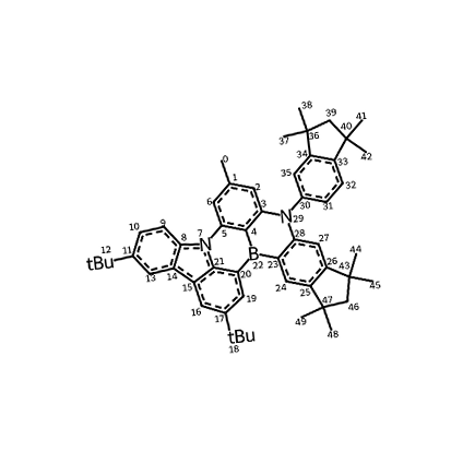 Cc1cc2c3c(c1)-n1c4ccc(C(C)(C)C)cc4c4cc(C(C)(C)C)cc(c41)B3c1cc3c(cc1N2c1ccc2c(c1)C(C)(C)CC2(C)C)C(C)(C)CC3(C)C